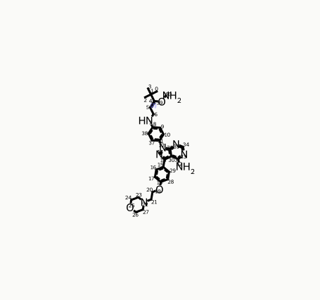 CC(C)(C)/C(=C/CNc1ccc(-n2nc(-c3ccc(OCCN4CCOCC4)cc3)c3c(N)ncnc32)cc1)ON